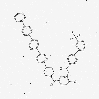 O=C(Cn1cc([S+]([O-])N2CCC(c3ccc(-c4ccc(-c5ccc(-c6ccccc6)cc5)cc4)cc3)CC2)ccc1=O)c1ccc(-c2cccc(C(F)(F)F)c2)cc1